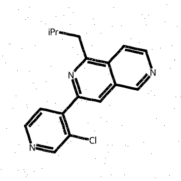 CC(C)Cc1nc(-c2ccncc2Cl)cc2cnccc12